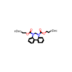 CCCCCCCCCCCCOC(=O)N1CN(C(=O)OCCCCCCCCCCCC)c2ccccc2-c2ccccc21